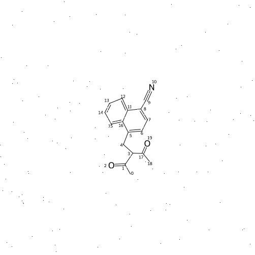 CC(=O)C(Cc1ccc(C#N)c2ccccc12)C(C)=O